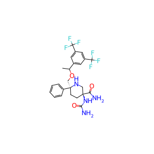 CC(OC[C@@]1(c2ccccc2)CC[C@@](NC(N)=O)(C(N)=O)CN1)c1cc(C(F)(F)F)cc(C(F)(F)F)c1